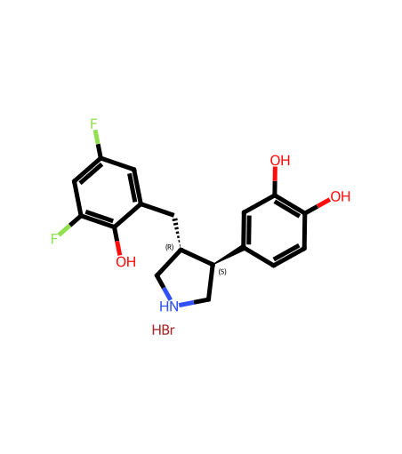 Br.Oc1ccc([C@H]2CNC[C@@H]2Cc2cc(F)cc(F)c2O)cc1O